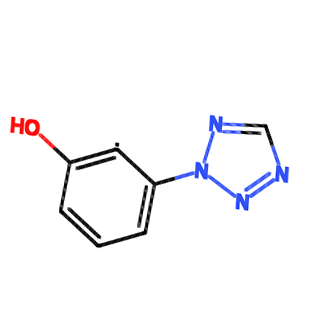 Oc1[c]c(-n2ncnn2)ccc1